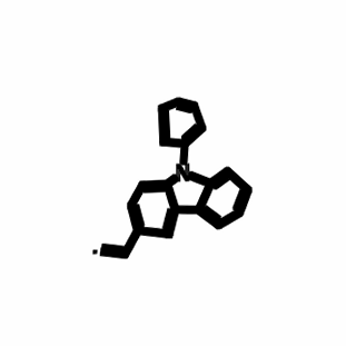 [CH]=Cc1ccc2c(c1)c1ccccc1n2-c1ccccc1